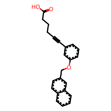 O=C(O)CCCC#Cc1cccc(OCc2ccc3ccccc3c2)c1